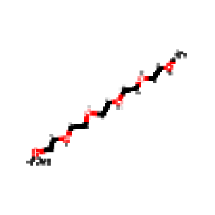 CCCCCCCCOCCOCCOCCOCCOCCOCCC